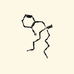 C=P(CCCCC)(CCCCC)CC1=C(Br)CCC=C1